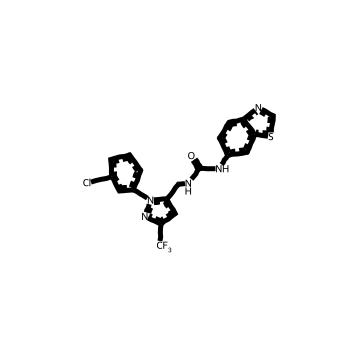 O=C(NCc1cc(C(F)(F)F)nn1-c1cccc(Cl)c1)Nc1ccc2ncsc2c1